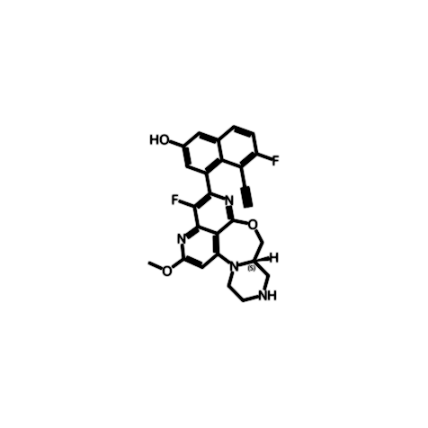 C#Cc1c(F)ccc2cc(O)cc(-c3nc4c5c(cc(OC)nc5c3F)N3CCNC[C@H]3CO4)c12